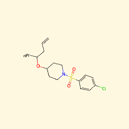 [CH2]CCC(CC=C)OC1CCN(S(=O)(=O)c2ccc(Cl)cc2)CC1